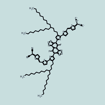 [C-]#[N+]C([N+]#[C-])=c1cc/c(=C\c2ccc(-c3sc(-c4c(F)c5c6nsnc6c(-c6cc(CCCC(CCCCCCCCCC)CCCCCCCCCC)c(-c7ccc(/C=c8\ccc(=C(C#N)C#N)s8)s7)s6)c(F)c5c5nsnc45)cc3CCCC(CCCCCCCCCC)CCCCCCCCCC)s2)s1